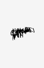 Clc1ncc(N2CCN(c3ncnc(Nc4cnn(CC5CNCCO5)c4)n3)CC2)nn1